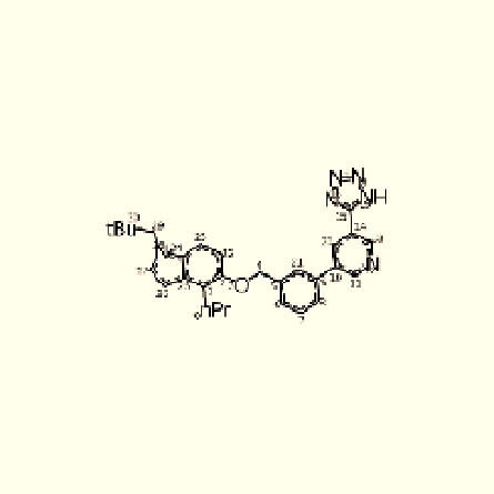 CCCc1c(OCc2cccc(-c3cncc(-c4nnn[nH]4)c3)c2)ccc2c1ccn2CC(C)(C)C